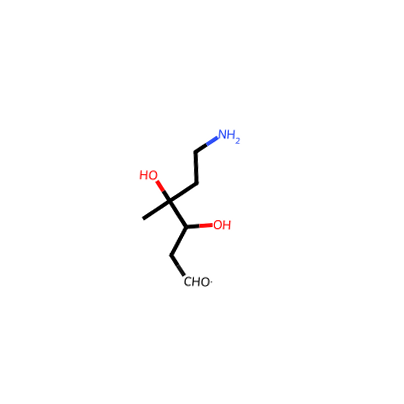 CC(O)(CCN)C(O)C[C]=O